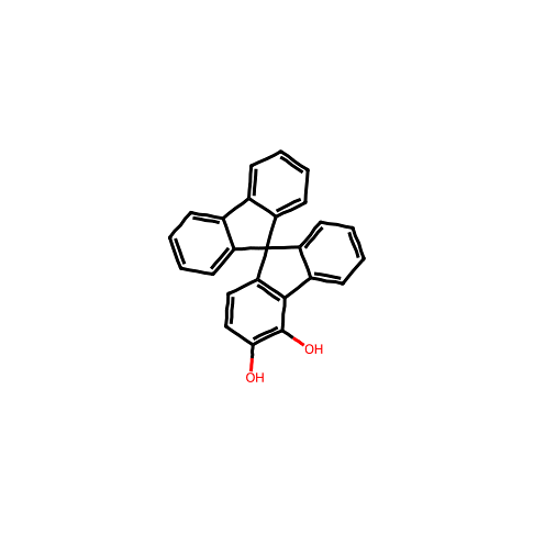 Oc1ccc2c(c1O)-c1ccccc1C21c2ccccc2-c2ccccc21